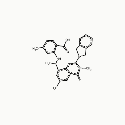 Cc1ccc(C(=O)O)c(NC(C)c2cc(C)cc3c(=O)n(C)c(N4Cc5ccccc5C4)nc23)c1